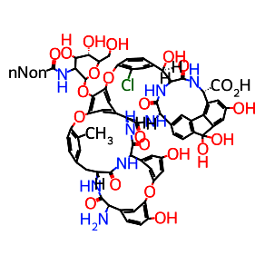 CCCCCCCCCC(=O)NC1C(O)[C@H](O)C(CO)O[C@H]1Oc1c2cc3cc1Oc1ccc(cc1Cl)[C@@H](O)[C@@H]1NC(=O)[C@H](NC(=O)[C@@H]3NC(=O)C3NC(=O)[C@@H](Cc4ccc(c(C)c4)O2)NC(=O)[C@H](N)c2ccc(O)c(c2)Oc2cc(O)cc3c2)c2ccc3c(c2)-c2c(cc(O)cc2C3(O)O)[C@@H](C(=O)O)NC1=O